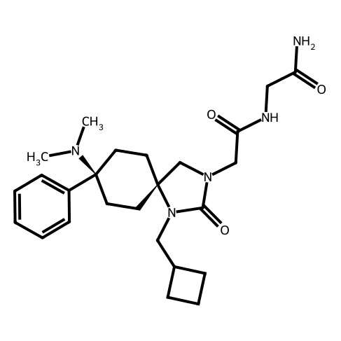 CN(C)[C@]1(c2ccccc2)CC[C@@]2(CC1)CN(CC(=O)NCC(N)=O)C(=O)N2CC1CCC1